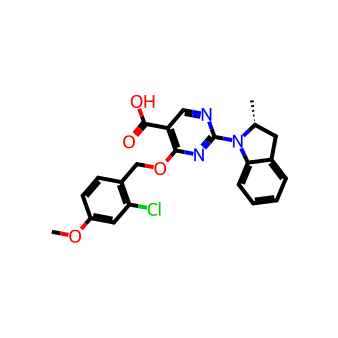 COc1ccc(COc2nc(N3c4ccccc4C[C@H]3C)ncc2C(=O)O)c(Cl)c1